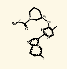 Cc1cnc(-c2cnc3ccc(F)cn23)nc1N[C@@H]1CCCN(C(=O)OC(C)(C)C)C1